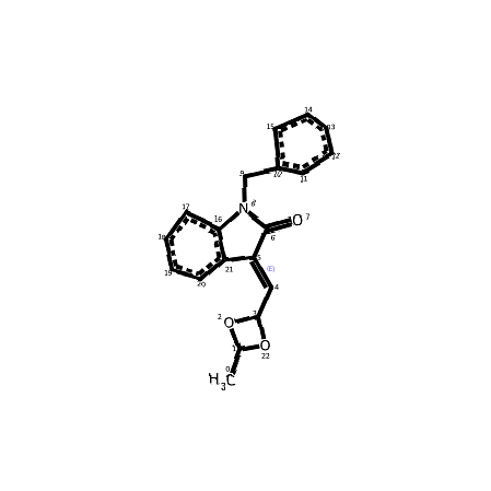 CC1OC(/C=C2/C(=O)N(Cc3ccccc3)c3ccccc32)O1